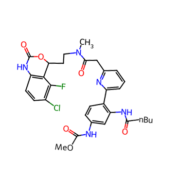 CCCCC(=O)Nc1cc(NC(=O)OC)ccc1-c1cccc(CC(=O)N(C)CCC2OC(=O)Nc3ccc(Cl)c(F)c32)n1